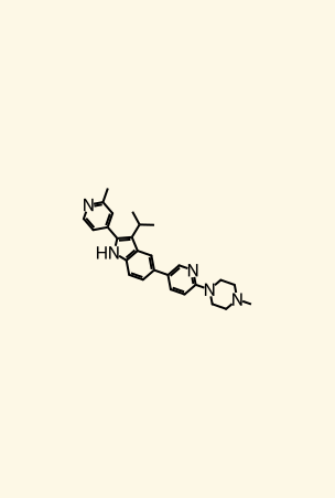 Cc1cc(-c2[nH]c3ccc(-c4ccc(N5CCN(C)CC5)nc4)cc3c2C(C)C)ccn1